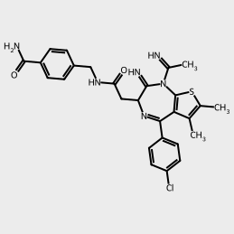 CC(=N)N1C(=N)C(CC(=O)NCc2ccc(C(N)=O)cc2)N=C(c2ccc(Cl)cc2)c2c1sc(C)c2C